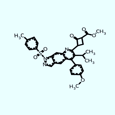 COC(=O)C1CC(c2nc3cc4c(cnn4S(=O)(=O)c4ccc(C)cc4)cc3c(-c3ccc(OC)cc3)c2C(C)C)C1=O